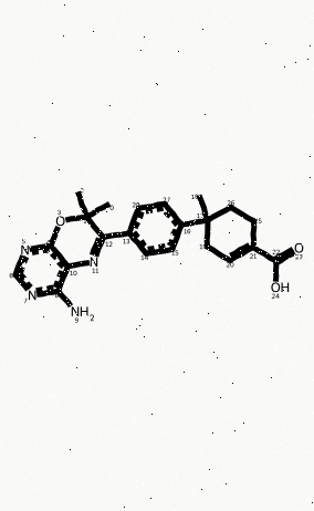 CC1(C)Oc2ncnc(N)c2N=C1c1ccc(C2(C)CC=C(C(=O)O)CC2)cc1